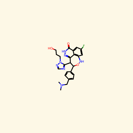 CN(C)Cc1ccc(C2ONc3cc(F)cc4c(=O)[nH]nc(c34)C2c2ncnn2CCCO)cc1